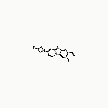 C=Cc1cc2nc3cc(N4CC(F)C4)ccn3c2cc1F